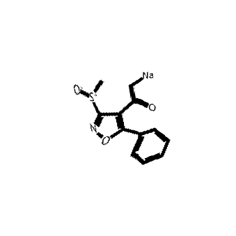 C[S+]([O-])c1noc(-c2ccccc2)c1C(=O)[CH2][Na]